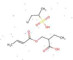 CC=CC(=O)OCC(CC)C(=O)O.[Li][CH2]C(C)S(=O)(=O)O